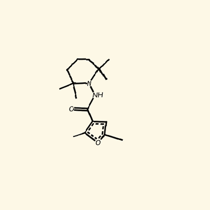 Cc1cc(C(=O)NN2C(C)(C)CCCC2(C)C)c(C)o1